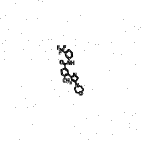 Cc1ccc(C(=O)Nc2cccc(C(F)(F)F)c2)cc1C1=NCC(N2CCOCC2)=C1